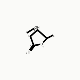 CC1CCC(=O)O1.CO